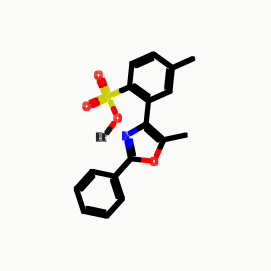 CCOS(=O)(=O)c1ccc(C)cc1-c1nc(-c2ccccc2)oc1C